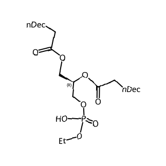 CCCCCCCCCCCC(=O)OC[C@H](COP(=O)(O)OCC)OC(=O)CCCCCCCCCCC